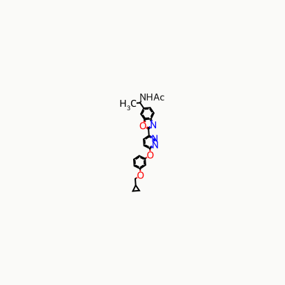 CC(=O)NC(C)c1ccc2nc(-c3ccc(Oc4cccc(OCC5CC5)c4)nn3)oc2c1